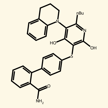 CCCCc1nc(O)c(Sc2ccc(-c3ccccc3C(N)=O)cc2)c(O)c1N1CCCc2ccccc21